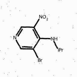 CC(C)Nc1c(Br)cncc1[N+](=O)[O-]